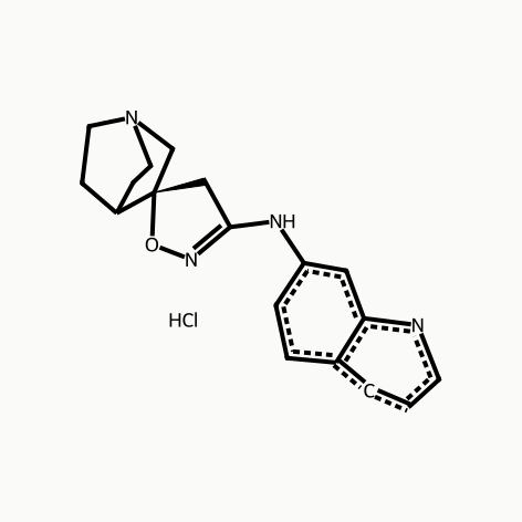 Cl.c1cnc2cc(NC3=NO[C@@]4(C3)CN3CCC4CC3)ccc2c1